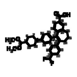 COC(OC)C1CCN(c2ccc(C3=C(c4ccc(C(F)F)cc4)CCCc4cc(C(=O)O)ccc43)cc2)CC1